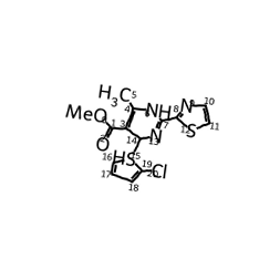 COC(=O)C1=C(C)NC(c2nccs2)=NC1[SH]1C=CC=C1Cl